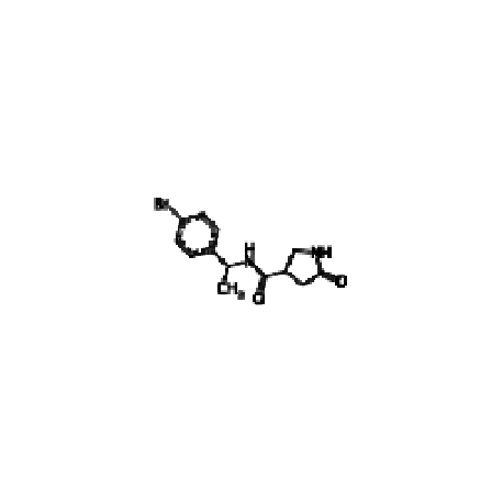 CC(NC(=O)C1CNC(=O)C1)c1ccc(Br)cc1